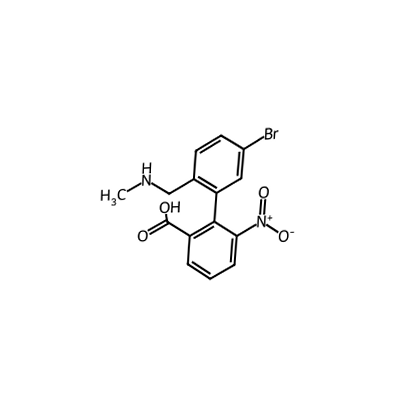 CNCc1ccc(Br)cc1-c1c(C(=O)O)cccc1[N+](=O)[O-]